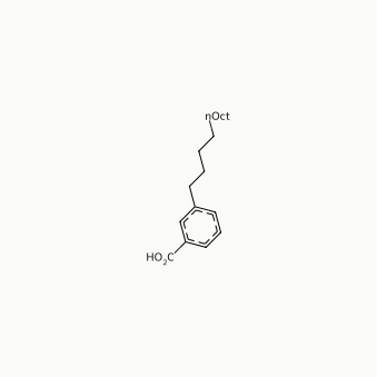 CCCCCCCCCCCCc1cccc(C(=O)O)c1